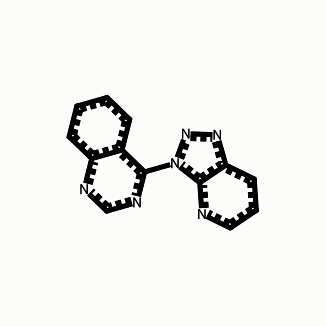 c1ccc2c(-n3nnc4cccnc43)ncnc2c1